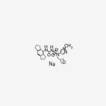 Cn1cc(N(CC2COC2)S(=O)(=O)NC(=O)Nc2c3c(cc4c2CCC4)CCC3)cn1.[Na]